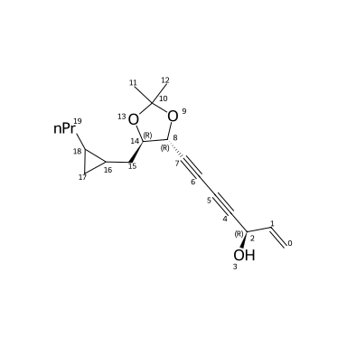 C=C[C@@H](O)C#CC#C[C@H]1OC(C)(C)O[C@@H]1CC1CC1CCC